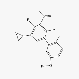 C=C(C)c1c(C)c(-c2cc(SF)ccc2C)cc(C2CC2)c1F